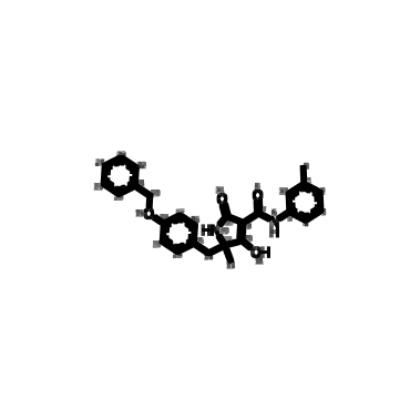 Cc1cccc(NC(=O)C2=C(O)C(C)(Cc3ccc(OCc4ccccc4)cc3)NC2=O)c1